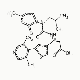 Cc1ccn([C@H](CC(C)C)C(=O)N[C@@H](CC(=O)O)c2csc(-c3c(C)cncc3C)c2)c(=O)c1